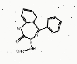 O=CNC1N=C(c2ccccc2)C2CC=CC=C2NC1=O